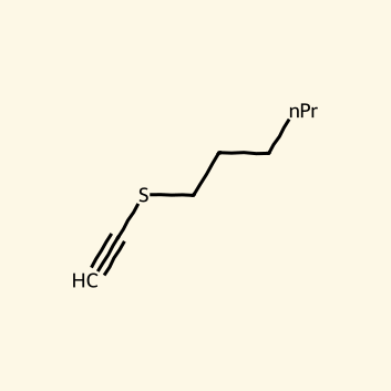 C#CSCCCCCC